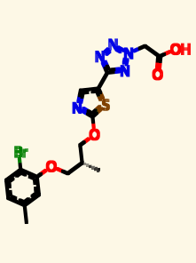 Cc1ccc(Br)c(OC[C@@H](C)COc2ncc(-c3nnn(CC(=O)O)n3)s2)c1